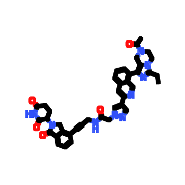 CCc1nc(-c2cccc3cc(-c4cnn(CC(=O)NCC#Cc5cccc6c5CN(C5CCC(=O)NC5=O)C6=O)c4)ncc23)c2n1CCN(C(C)=O)C2